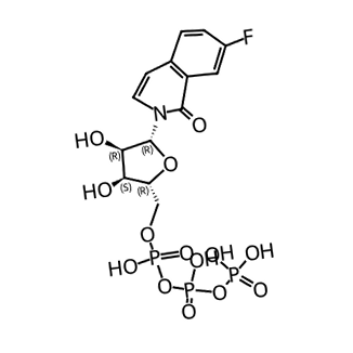 O=c1c2cc(F)ccc2ccn1[C@@H]1O[C@H](COP(=O)(O)OP(=O)(O)OP(=O)(O)O)[C@@H](O)[C@H]1O